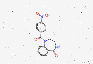 O=C1NCCN(C(=O)c2ccc([N+](=O)[O-])cc2)c2ccccc21